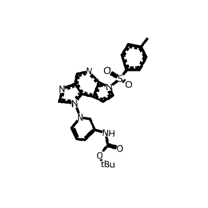 Cc1ccc(S(=O)(=O)n2ccc3c4c(cnc32)ncn4N2C=CC=C(NC(=O)OC(C)(C)C)C2)cc1